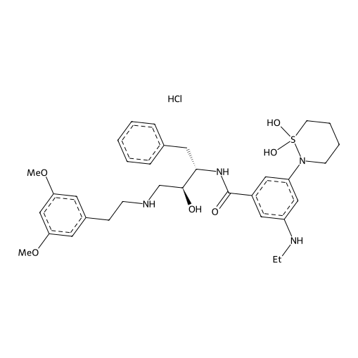 CCNc1cc(C(=O)N[C@@H](Cc2ccccc2)[C@@H](O)CNCCc2cc(OC)cc(OC)c2)cc(N2CCCCS2(O)O)c1.Cl